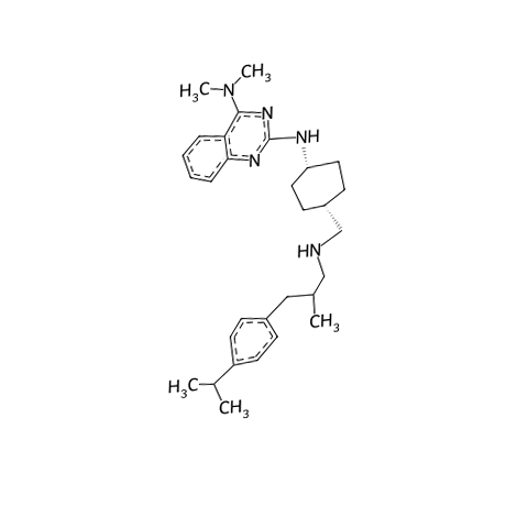 CC(CNC[C@H]1CC[C@@H](Nc2nc(N(C)C)c3ccccc3n2)CC1)Cc1ccc(C(C)C)cc1